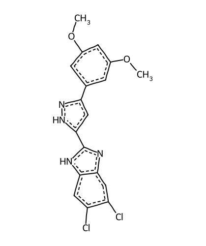 COc1cc(OC)cc(-c2cc(-c3nc4cc(Cl)c(Cl)cc4[nH]3)[nH]n2)c1